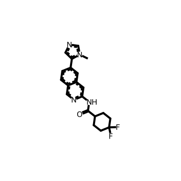 Cn1cncc1-c1ccc2cnc(NC(=O)C3CCC(F)(F)CC3)cc2c1